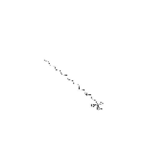 CCCCCCCCCCCCCCNCCCS(=O)(=O)O